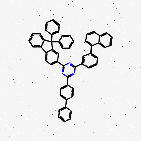 c1ccc(-c2ccc(-c3nc(-c4cccc(-c5cccc6ccccc56)c4)nc(-c4ccc5c(c4)C(c4ccccc4)(c4ccccc4)c4ccccc4-5)n3)cc2)cc1